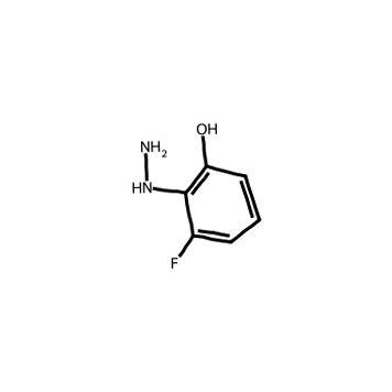 NNc1c(O)cccc1F